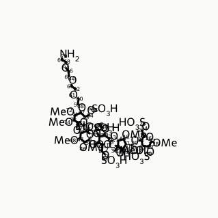 CCC1(C(=O)O)OC(OC2C(COS(=O)(=O)O)OC(OC3C(OC)[C@H](C(O)OC4C(COS(=O)(=O)O)OC(OC)C(OS(=O)(=O)O)C4OC)[C@@H]4OCC34C(=O)O)C(OS(=O)(=O)O)C2OS(=O)(=O)O)C(OC)C(OC)C1OC1OC(COS(=O)(=O)O)C(OCCOCCOCCOCCN)C(OC)C1OC